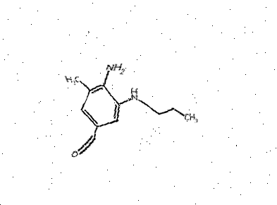 CCCNc1cc(C=O)cc(C)c1N